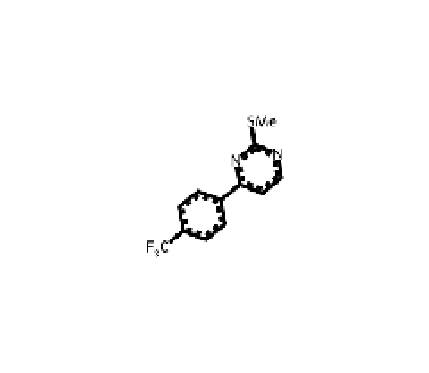 CSc1nccc(-c2ccc(C(F)(F)F)cc2)n1